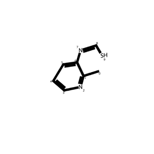 Cc1ncccc1/N=C\S